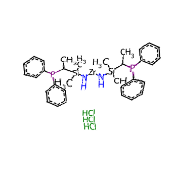 CC(P(c1ccccc1)c1ccccc1)[Si](C)(C)[NH][Zr][NH][Si](C)(C)C(C)P(c1ccccc1)c1ccccc1.Cl.Cl.Cl